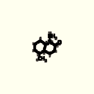 Cc1cccc2c1ccc(=O)n2N